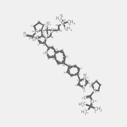 CC(C)(C)OC(=O)N1CCC[C@H]1c1ncc(-c2ccc(-c3ccc4cc(-c5cnc([C@@]6(C(C)(C)C)CCCN6C(=O)O)n5COCC[Si](C)(C)C)ncc4c3)cc2)[nH]1